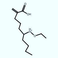 C=C(CCCC(CCCC)[SiH2]OCC)C(=O)O